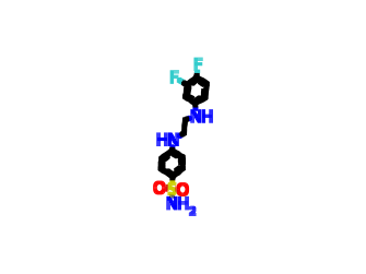 NS(=O)(=O)c1ccc(NCCNc2ccc(F)c(F)c2)cc1